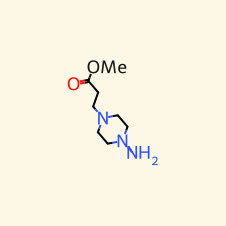 COC(=O)CCN1CCN(N)CC1